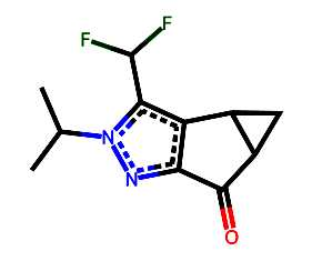 CC(C)n1nc2c(c1C(F)F)C1CC1C2=O